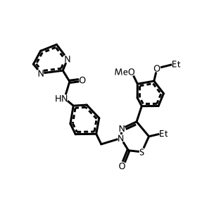 CCOc1ccc(C2=NN(Cc3ccc(NC(=O)c4ncccn4)cc3)C(=O)SC2CC)cc1OC